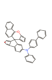 c1ccc(-c2ccc(N(c3ccccc3)c3ccc4c(c3)C3(c5ccccc5Oc5c3ccc3ccccc53)c3ccccc3-4)cc2)cc1